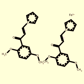 COc1ccc(OC)c(C(=O)/C=C/[c-]2cccc2)c1.COc1ccc(OC)c(C(=O)/C=C/[c-]2cccc2)c1.[Fe+2]